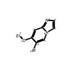 CCOc1cc2nccn2cc1Br